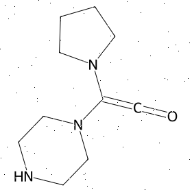 O=C=C(N1CCCC1)N1CCNCC1